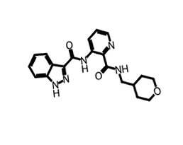 O=C(NCC1CCOCC1)c1ncccc1NC(=O)c1n[nH]c2ccccc12